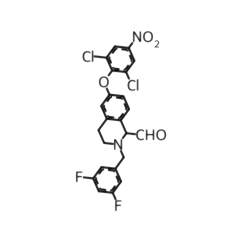 O=CC1c2ccc(Oc3c(Cl)cc([N+](=O)[O-])cc3Cl)cc2CCN1Cc1cc(F)cc(F)c1